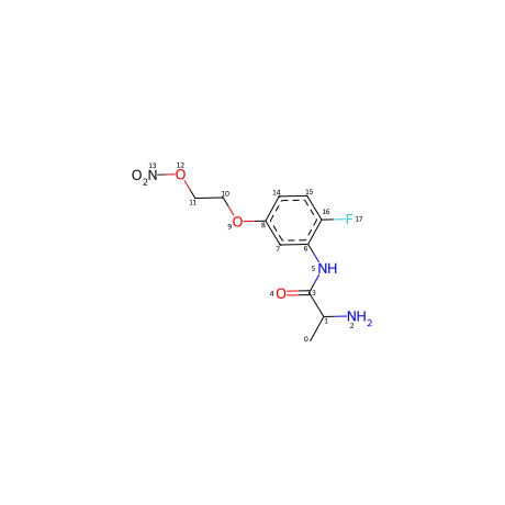 CC(N)C(=O)Nc1cc(OCCO[N+](=O)[O-])ccc1F